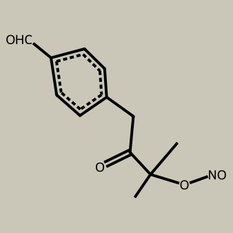 CC(C)(ON=O)C(=O)Cc1ccc(C=O)cc1